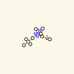 c1ccc(-c2c3ccccc3c(-c3ccc(-c4nc(-c5ccc(-c6cc7ccccc7s6)cc5)nc(-c5ccccc5-n5c6ccccc6c6ccccc65)n4)cc3)c3ccccc23)cc1